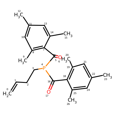 C=CCCP(C(=O)c1c(C)cc(C)cc1C)C(=O)c1c(C)cc(C)cc1C